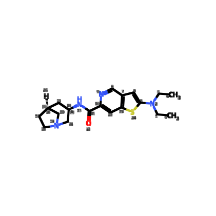 CCN(CC)c1cc2cnc(C(=O)N[C@@H]3C[C@@H]4CCN(C4)C3)cc2s1